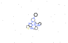 CC(N[C@H]1CCC[C@@H]1Nc1nc(N2CCN(c3ccccc3)CC2)nc2c1SCC2)c1ccc[nH]1